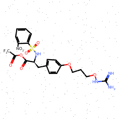 N=C(N)NOCCCOc1ccc(C[C@H](NS(=O)(=O)c2ccccc2[N+](=O)[O-])C(=O)OC(=O)C(F)(F)F)cc1